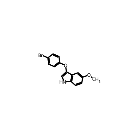 COc1ccc2[nH]cc(Oc3ccc(Br)cc3)c2c1